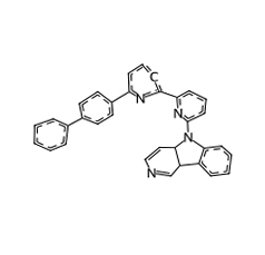 C1=CC2C(C=N1)c1ccccc1N2c1cccc(-c2cccc(-c3ccc(-c4ccccc4)cc3)n2)n1